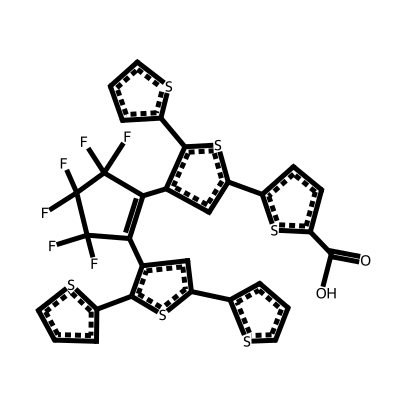 O=C(O)c1ccc(-c2cc(C3=C(c4cc(-c5cccs5)sc4-c4cccs4)C(F)(F)C(F)(F)C3(F)F)c(-c3cccs3)s2)s1